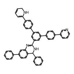 C1=CCNC(c2ccc(-c3cc(C4=Nc5cc(-c6ccccc6)ccc5C(c5ccccc5)N4)cc(-c4ccc(-c5cccnc5)cc4)c3)cc2)=C1